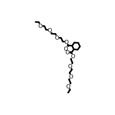 CCOCCOCCOCCOC(=O)C1CCCCC1C(=O)OCCOCCOCCOCC